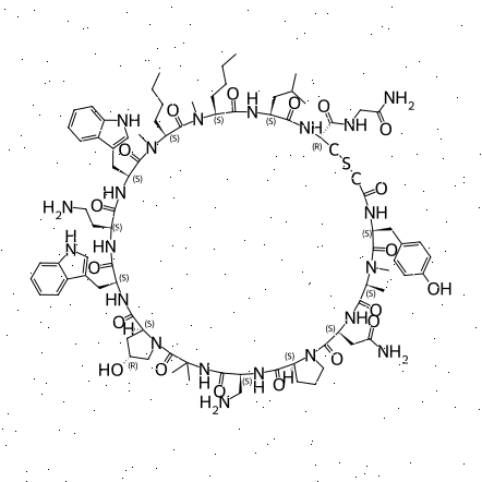 CCCC[C@H]1C(=O)N(C)[C@@H](CCCC)C(=O)N[C@@H](CC(C)C)C(=O)N[C@H](C(=O)NCC(N)=O)CSCC(=O)N[C@@H](Cc2ccc(O)cc2)C(=O)N(C)[C@@H](C)C(=O)N[C@@H](CC(N)=O)C(=O)N2CCC[C@H]2C(=O)N[C@@H](CN)C(=O)NC(C)(C)C(=O)N2C[C@H](O)C[C@H]2C(=O)N[C@@H](Cc2c[nH]c3ccccc23)C(=O)N[C@@H](CCN)C(=O)N[C@@H](Cc2c[nH]c3ccccc23)C(=O)N1C